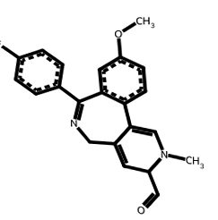 COc1ccc2c(c1)C(c1ccc(F)cc1)=NCC1=CC(C=O)N(C)C=C12